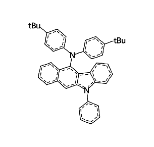 CC(C)(C)c1ccc(N(c2ccc(C(C)(C)C)cc2)c2c3ccccc3cc3c2c2ccccc2n3-c2ccccc2)cc1